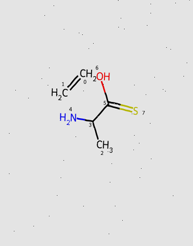 C=C.CC(N)C(O)=S